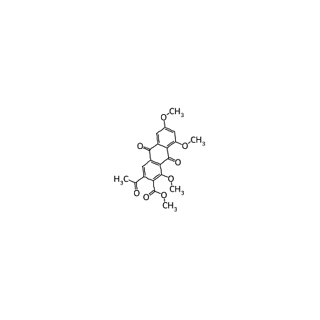 COC(=O)c1c(C(C)=O)cc2c(c1OC)C(=O)c1c(OC)cc(OC)cc1C2=O